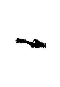 CCCCCCCCCCCCCCC=COCC(O)CO[C@@H]1O[C@H](CO)[C@H](O)[C@H](O)[C@H]1O